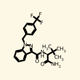 CC(C)(C)[C@H](NC(=O)c1nn(Cc2ccc(C(F)(F)F)cc2)c2ccccc12)C(N)=O